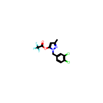 Cc1cc(OC(=O)C(F)(F)F)n(Cc2ccc(Cl)c(Cl)c2)n1